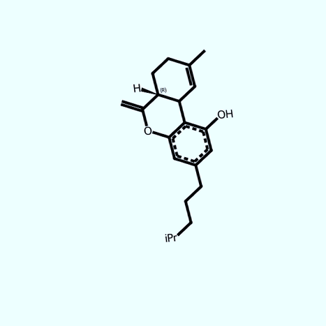 C=C1Oc2cc(CCCC(C)C)cc(O)c2C2C=C(C)CC[C@@H]12